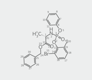 C[C@H](NP(=O)(Oc1ccccc1)Oc1c(Br)cccc1I)C(=O)OCc1ccccc1